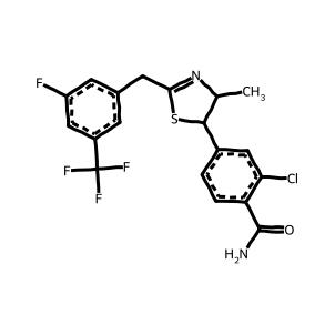 CC1N=C(Cc2cc(F)cc(C(F)(F)F)c2)SC1c1ccc(C(N)=O)c(Cl)c1